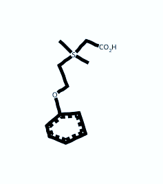 CS(C)(CCOc1ccccc1)CC(=O)O